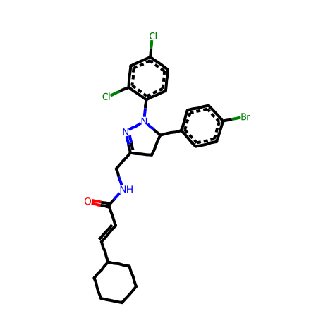 O=C(C=CC1CCCCC1)NCC1=NN(c2ccc(Cl)cc2Cl)C(c2ccc(Br)cc2)C1